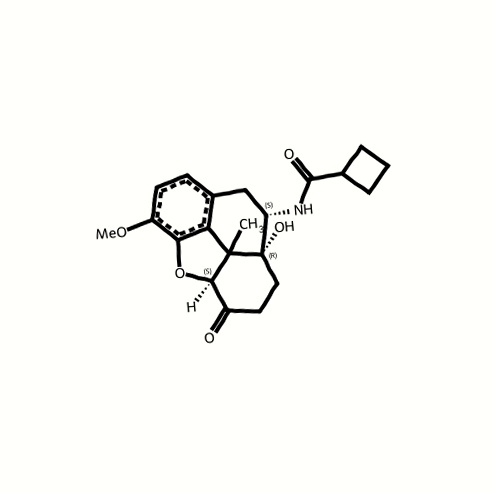 COc1ccc2c3c1O[C@@H]1C(=O)CC[C@](O)([C@@H](NC(=O)C4CCC4)C2)C31C